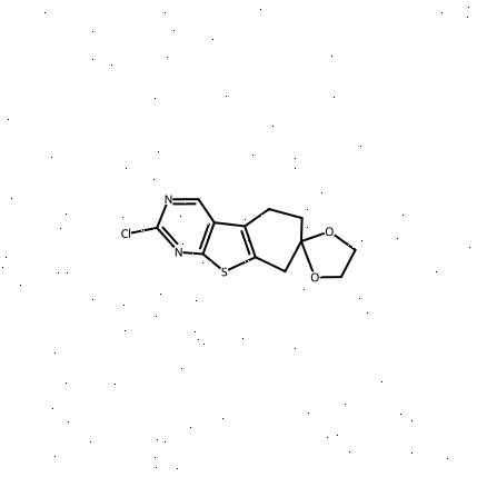 Clc1ncc2c3c(sc2n1)CC1(CC3)OCCO1